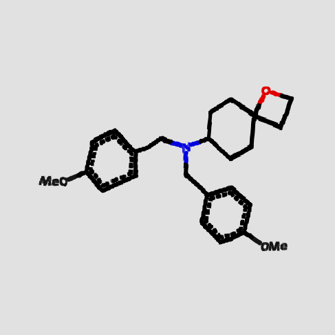 COc1ccc(CN(Cc2ccc(OC)cc2)C2CCC3(CCO3)CC2)cc1